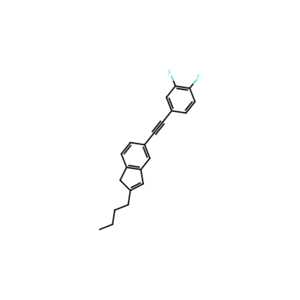 CCCCC1=Cc2cc(C#Cc3ccc(F)c(F)c3)ccc2C1